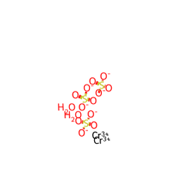 O.O.O=S(=O)([O-])[O-].O=S(=O)([O-])[O-].O=S(=O)([O-])[O-].[Cr+3].[Cr+3]